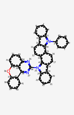 c1ccc(-n2c3ccccc3c3ccc4c(ccc5c6ccccc6n(-c6nc7c8c(cccc8n6)Oc6ccccc6-7)c54)c32)cc1